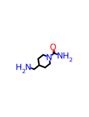 NCC1CCN(C(N)=O)CC1